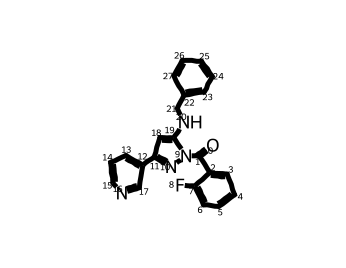 O=C(c1ccccc1F)n1nc(-c2cccnc2)cc1NCc1ccccc1